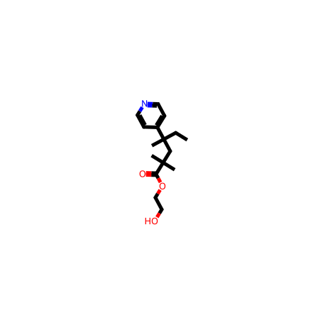 CCC(C)(CC(C)(C)C(=O)OCCO)c1ccncc1